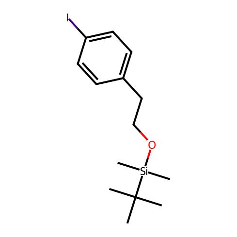 CC(C)(C)[Si](C)(C)OCCc1ccc(I)cc1